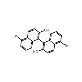 Oc1ccc2c(Br)cccc2c1-c1c(O)ccc2c(Br)cccc12